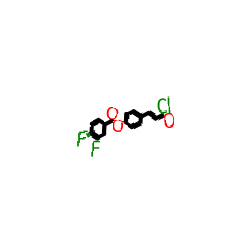 O=C(Cl)/C=C/c1ccc(OC(=O)c2ccc(F)c(F)c2)cc1